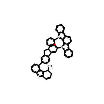 CC1CC=Cc2sc3cccc(-c4ccc5c(c4)CC4CC=C(n6c7ccccc7c7ccc8c9ccccc9n(-c9ccccc9)c8c76)C=C54)c3c21